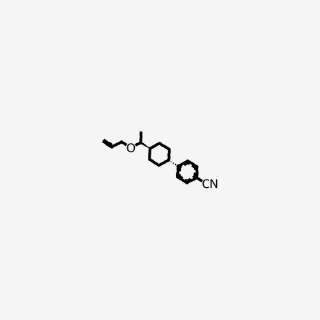 C=CCOC(C)[C@H]1CC[C@H](c2ccc(C#N)cc2)CC1